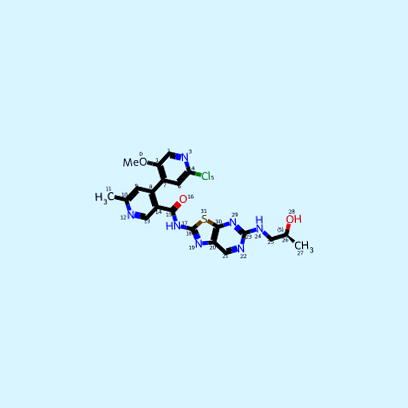 COc1cnc(Cl)cc1-c1cc(C)ncc1C(=O)Nc1nc2cnc(NC[C@H](C)O)nc2s1